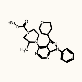 CC1CN(C(=O)OC(C)(C)C)CCN1c1ncnc2c1c(C1CCOCC1)nn2-c1ccccc1